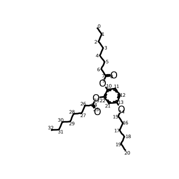 CCCCCCCC(=O)Oc1ccc(OCCCCCC)cc1OC(=O)CCCCCCC